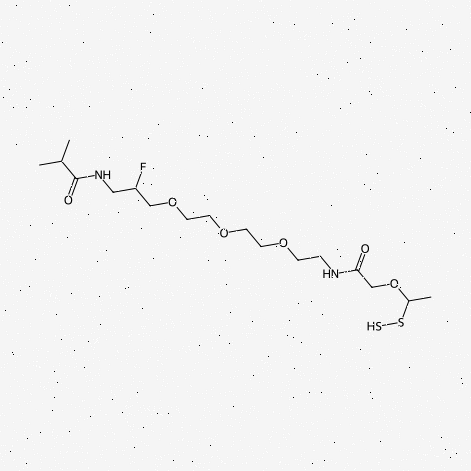 CC(OCC(=O)NCCOCCOCCOCC(F)CNC(=O)C(C)C)SS